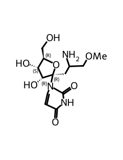 COCC(N)C[C@@]1(n2ccc(=O)[nH]c2=O)O[C@H](CO)[C@@H](O)[C@H]1O